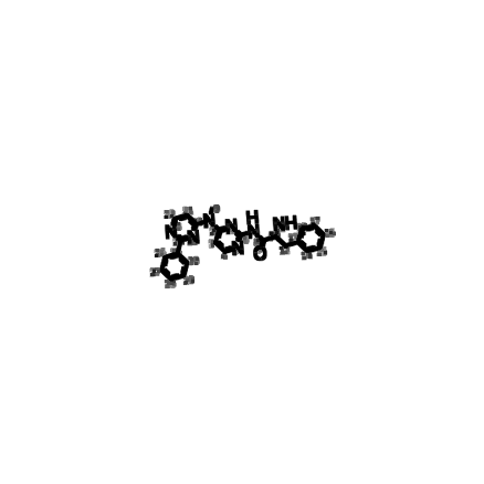 CN(c1ccnc(NC(=O)[C@H](N)Cc2ccccc2)n1)c1ccnc(-c2ccccc2)n1